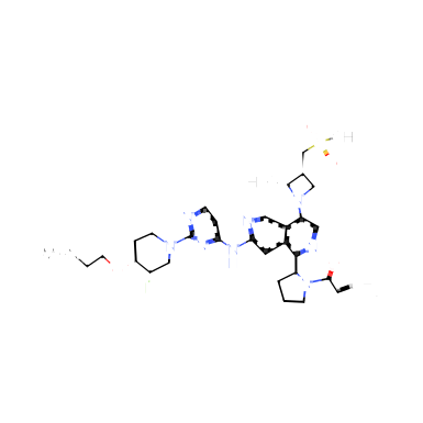 C=CC(=O)N1CCCC1c1ncc(N2C[C@H](CS(C)(=O)=O)[C@H]2C)c2cnc(Nc3ccnc(N4CC[C@@H](OCCNC)[C@@H](F)C4)n3)cc12